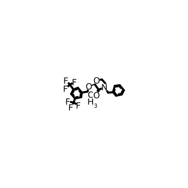 CC(O[C@H]1OCCN(Cc2ccccc2)C1=O)c1cc(C(F)(F)F)cc(C(F)(F)F)c1